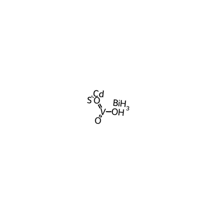 [BiH3].[O]=[V](=[O])[OH].[S]=[Cd]